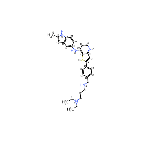 CCN(CC)CCCNCc1ccc(-c2cc3nccc(Nc4ccc5[nH]c(C)cc5c4)c3s2)cc1